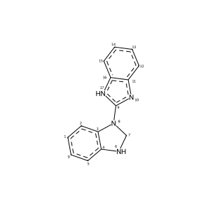 c1ccc2c(c1)NCN2c1nc2ccccc2[nH]1